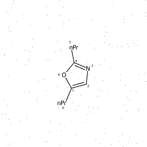 CCCc1cnc(CCC)o1